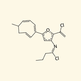 C=C(Cl)c1oc(C2=C/C=C\C(C)C\C=C\2)cc1/N=C(/Cl)CCC